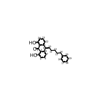 O=C1c2c(O)cccc2C(=CCCCCc2ccccc2)c2cccc(O)c21